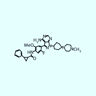 COc1cc(-c2nn(C3CCC(N4CCN(C)CC4)CC3)c3ncnc(N)c23)c(F)cc1NC(=O)C1CC1c1ccccc1